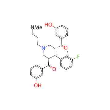 CNCCCN1C[C@H](C(=O)c2cccc(O)c2)C(c2cccc(F)c2C)[C@@H](C(=O)c2cccc(O)c2)C1